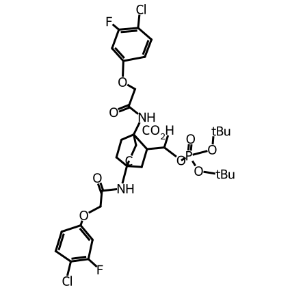 CC(C)(C)OP(=O)(OC(C(=O)O)C1CC2(NC(=O)COc3ccc(Cl)c(F)c3)CCC1(NC(=O)COc1ccc(Cl)c(F)c1)CC2)OC(C)(C)C